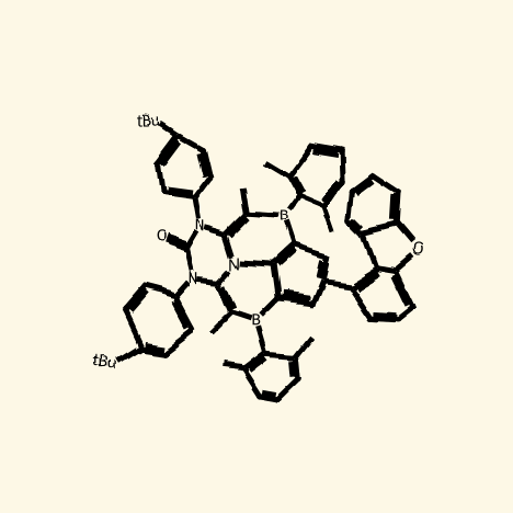 CC1=C2N(c3ccc(C(C)(C)C)cc3)C(=O)N(c3ccc(C(C)(C)C)cc3)C3=C(C)B(c4c(C)cccc4C)c4cc(-c5cccc6oc7ccccc7c56)cc(c4N23)B1c1c(C)cccc1C